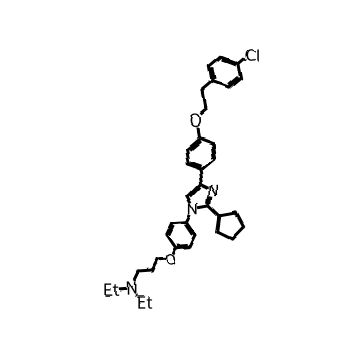 CCN(CC)CCCOc1ccc(-n2cc(-c3ccc(OCCc4ccc(Cl)cc4)cc3)nc2C2CCCC2)cc1